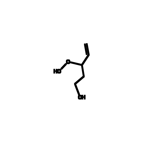 C=CC(CCO)OO